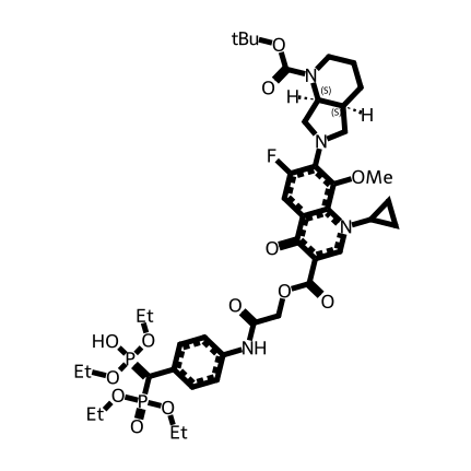 CCOP(=O)(OCC)C(c1ccc(NC(=O)COC(=O)c2cn(C3CC3)c3c(OC)c(N4C[C@@H]5CCCN(C(=O)OC(C)(C)C)[C@@H]5C4)c(F)cc3c2=O)cc1)=P(O)(OCC)OCC